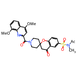 COc1cc(C(=O)N2CCC3(CC2)CC(=O)c2cc(S(=O)(=O)N(C)C(C)=O)ccc2O3)nc2c(OC)cccc12